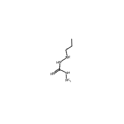 CCCNNC(=N)NN